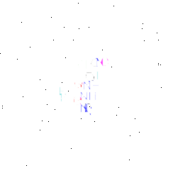 Cc1c(-c2ccc(NC(=O)C(NC(=O)c3ccnn3C)C3CCC(F)(F)CC3)cc2F)c(Cl)cc[n+]1[O-]